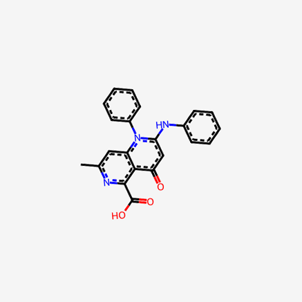 Cc1cc2c(c(C(=O)O)n1)c(=O)cc(Nc1ccccc1)n2-c1ccccc1